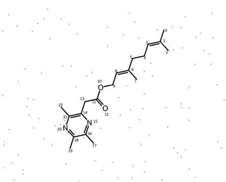 CC(C)=CCC/C(C)=C/COC(=O)Cc1nc(C)c(C)nc1C